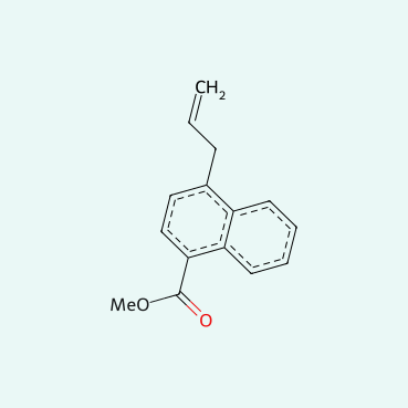 C=CCc1ccc(C(=O)OC)c2ccccc12